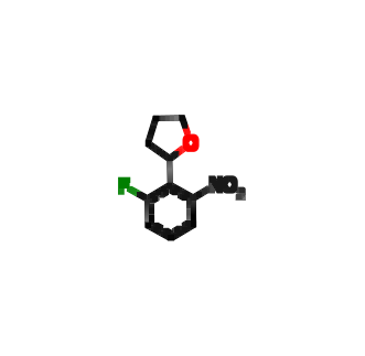 O=[N+]([O-])c1cccc(F)c1C1CCCO1